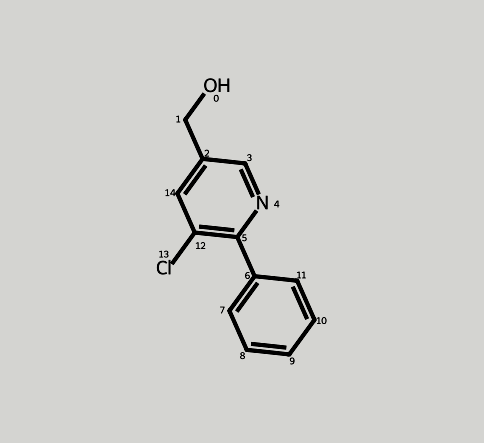 OCc1cnc(-c2ccccc2)c(Cl)c1